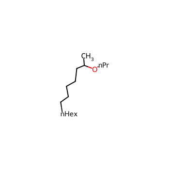 CCCCCCCCCCCC(C)OCCC